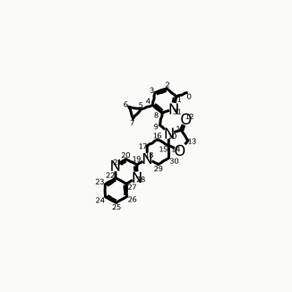 Cc1ccc(C2CC2)c(CN2C(=O)COC23CCN(c2cnc4ccccc4n2)CC3)n1